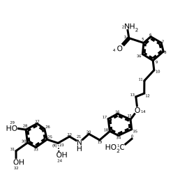 CC(=O)O.NC(=O)c1cccc(CCCCOc2ccc(CCNC[C@H](O)c3ccc(O)c(CO)c3)cc2)c1